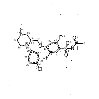 CC(=O)NS(=O)(=O)c1cc(F)c(OC[C@@H]2CNCC[C@H]2c2ccc(Cl)cc2)cc1F